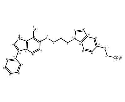 CCCc1c(OCCCn2ccc3cc(OCC(=O)O)ccc32)ccc2c(-c3ccccc3)c[nH]c12